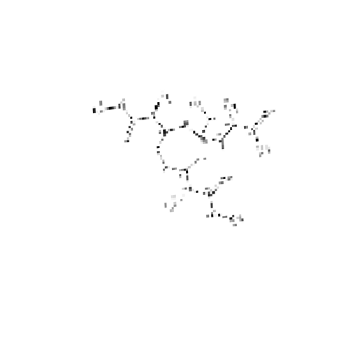 COC(=O)[C@@H](C)N1CCN([C@@H](C)C(=O)OC)CC(CO)(N[C@H](C)C(C)=O)C1